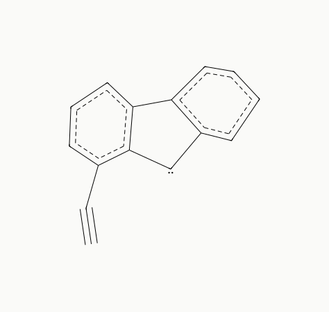 C#Cc1cccc2c1[C]c1ccccc1-2